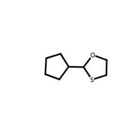 C1CCC(C2OCCS2)C1